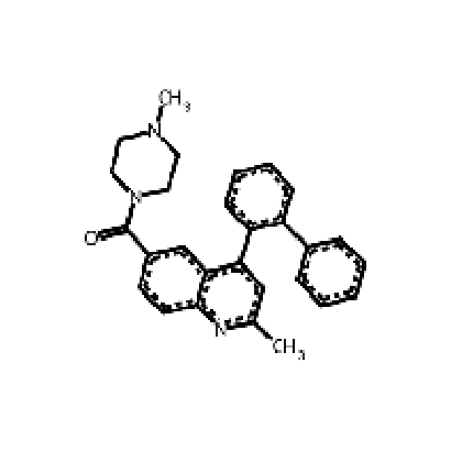 Cc1cc(-c2ccccc2-c2ccccc2)c2cc(C(=O)N3CCN(C)CC3)ccc2n1